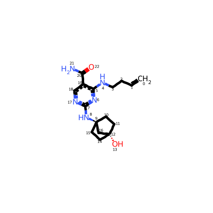 C=CCCNc1nc(N[C@]23CC[C@@](O)(CC2)C3)ncc1C(N)=O